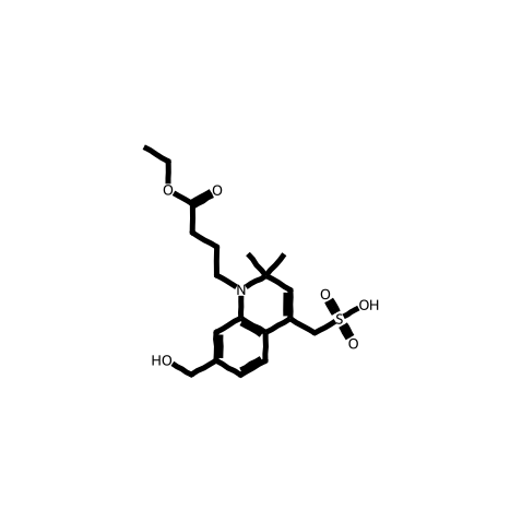 CCOC(=O)CCCN1c2cc(CO)ccc2C(CS(=O)(=O)O)=CC1(C)C